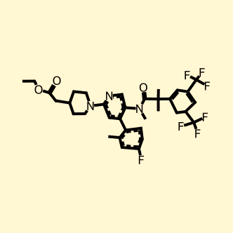 CCOC(=O)CC1CCN(c2cc(-c3ccc(F)cc3C)c(N(C)C(=O)C(C)(C)C3=CC(C(F)(F)F)=CC(C(F)(F)F)C3)cn2)CC1